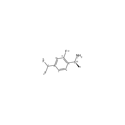 C[C@H](N)c1ccc(C(F)F)cc1F